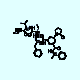 CCNC(=O)[C@@H](NC(=O)[C@H](CC)NC[C@H](Cc1ccccc1)NC(=O)c1cc(C(=O)N[C@H](C)c2ccccc2)cc(N2CCCC2=O)c1)C(C)C